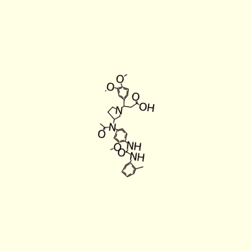 COc1cc(N(C(C)=O)C2CCN(C(CC(=O)O)c3ccc(OC)c(OC)c3)C2)ccc1NC(=O)Nc1ccccc1C